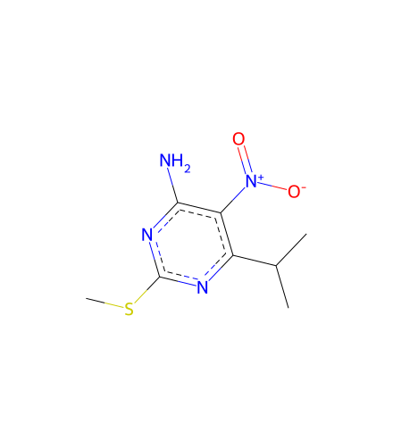 CSc1nc(N)c([N+](=O)[O-])c(C(C)C)n1